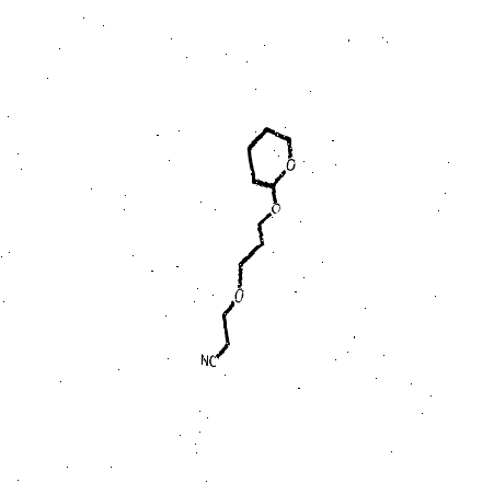 N#CCCOCCCOC1CCCCO1